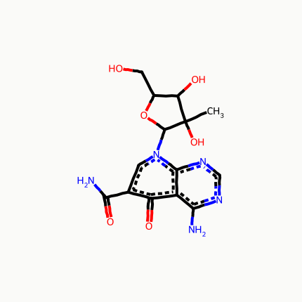 CC1(O)C(O)C(CO)OC1n1cc(C(N)=O)c(=O)c2c(N)ncnc21